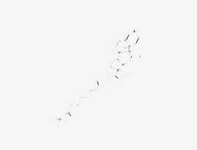 C[C@H]1C[C@@H]2[C@H]([C@@H](O)C[C@@]3(C)[C@H]2CC[C@]3(O)C(=O)COC(=O)CCCCCNC(=O)OC(C)(C)C)[C@@]2(C)C=CC(=O)C=C12